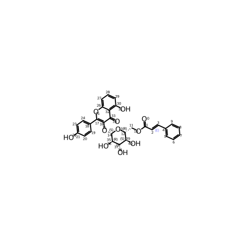 O=C(/C=C/c1ccccc1)OC[C@H]1O[C@@H](Oc2c(-c3ccc(O)cc3)oc3cccc(O)c3c2=O)[C@H](O)[C@@H](O)[C@@H]1O